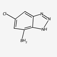 Bc1cc(Cl)cc2nn[nH]c12